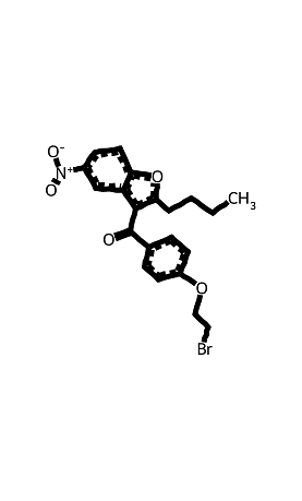 CCCCc1oc2ccc([N+](=O)[O-])cc2c1C(=O)c1ccc(OCCBr)cc1